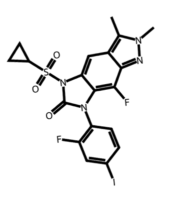 Cc1c2cc3c(c(F)c2nn1C)n(-c1ccc(I)cc1F)c(=O)n3S(=O)(=O)C1CC1